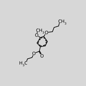 CCCCOc1ccc(C(=O)OCCC)cc1OC